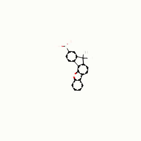 CC1(C)c2cc(B(O)O)ccc2-c2c1ccc1c2oc2ccccc21